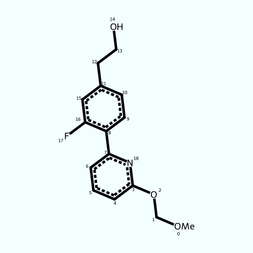 COCOc1cccc(-c2ccc(CCO)cc2F)n1